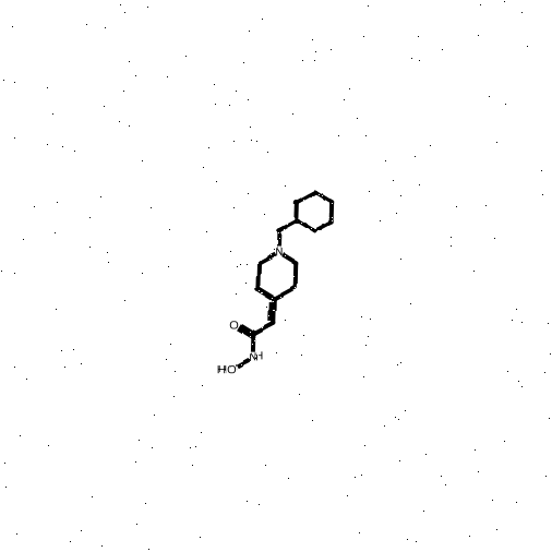 O=C(C=C1CCN(CC2CCCCC2)CC1)NO